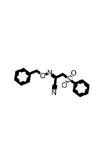 N#C/C(CS(=O)(=O)c1ccccc1)=N\OCc1ccccc1